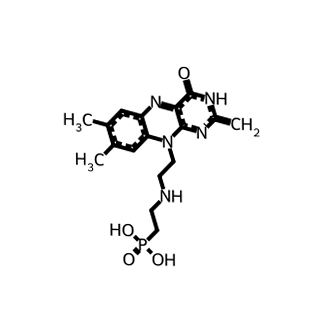 C=c1nc2c(c(=O)[nH]1)=Nc1cc(C)c(C)cc1N2CCNCCP(=O)(O)O